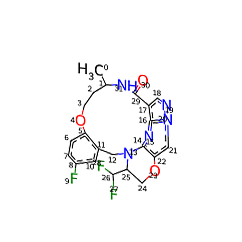 CC1CCOc2ccc(F)cc2CN2c3nc4c(cnn4cc3OCC2C(F)F)C(=O)N1